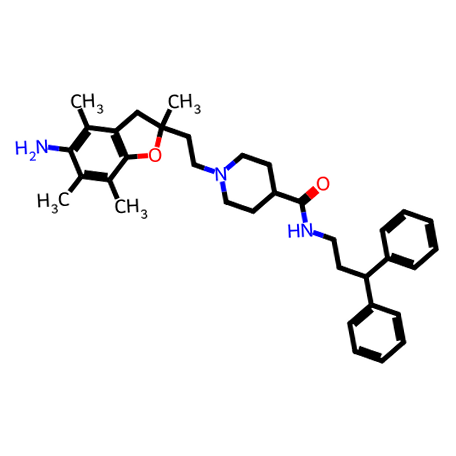 Cc1c(C)c2c(c(C)c1N)CC(C)(CCN1CCC(C(=O)NCCC(c3ccccc3)c3ccccc3)CC1)O2